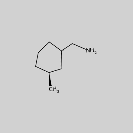 C[C@H]1CCC[C](CN)C1